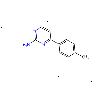 Cc1ccc(-c2ccnc(N)n2)cc1